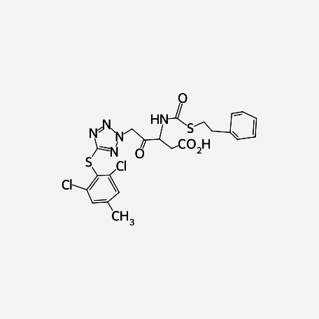 Cc1cc(Cl)c(Sc2nnn(CC(=O)C(CC(=O)O)NC(=O)SCCc3ccccc3)n2)c(Cl)c1